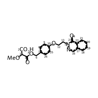 COC(C(=O)O)C(=O)OCc1ccc(OCCn2ncc3ccccc3c2=O)cc1